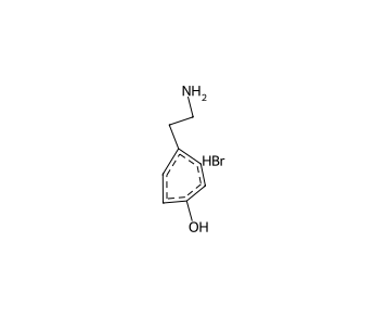 Br.NCCc1ccc(O)cc1